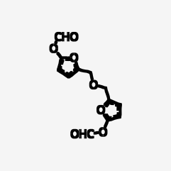 O=COc1ccc(COCc2ccc(OC=O)o2)o1